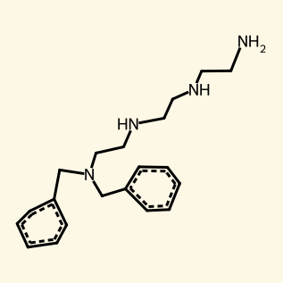 NCCNCCNCCN(Cc1ccccc1)Cc1ccccc1